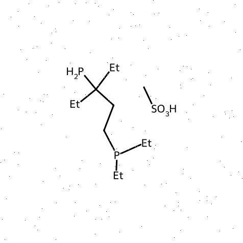 CCP(CC)CCC(P)(CC)CC.CS(=O)(=O)O